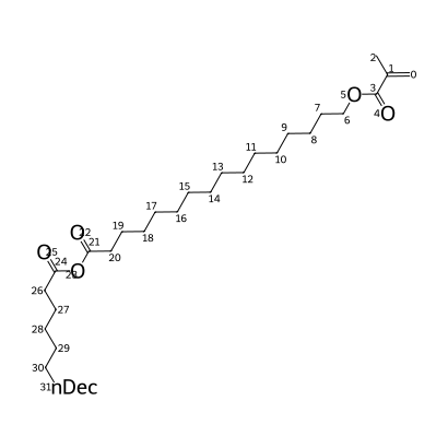 C=C(C)C(=O)OCCCCCCCCCCCCCCCC(=O)OC(=O)CCCCCCCCCCCCCCC